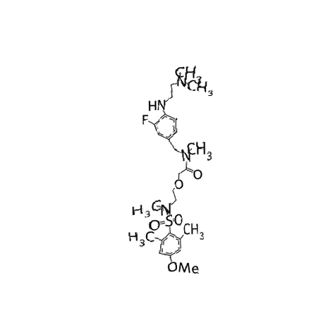 COc1cc(C)c(S(=O)(=O)N(C)CCOCC(=O)N(C)Cc2ccc(NCCN(C)C)c(F)c2)c(C)c1